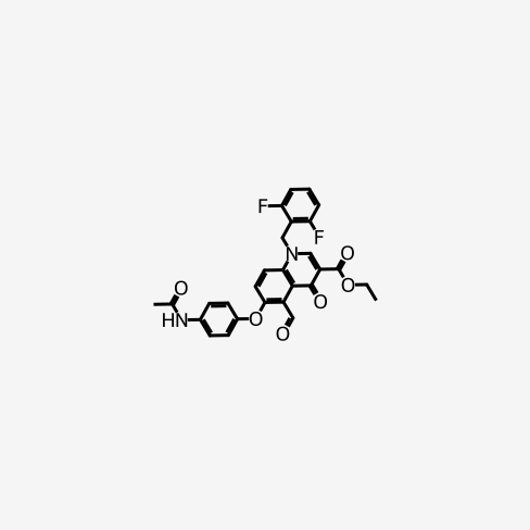 CCOC(=O)c1cn(Cc2c(F)cccc2F)c2ccc(Oc3ccc(NC(C)=O)cc3)c(C=O)c2c1=O